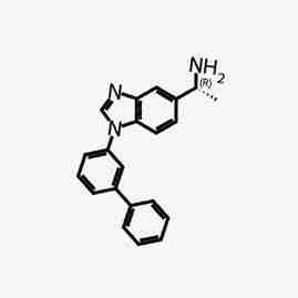 C[C@@H](N)c1ccc2c(c1)ncn2-c1cccc(-c2ccccc2)c1